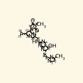 Cc1ccnc([C@H]2C[C@@H]2c2cc(O)c3cnc(NCc4cn5cc(C6CC6)cc(N6CC(=O)N(C)C6=O)c5n4)nc3n2)n1